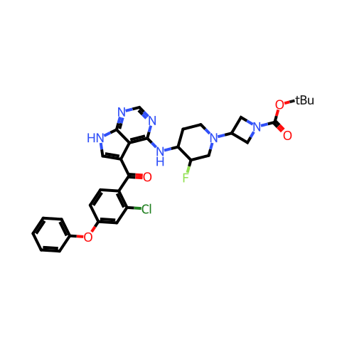 CC(C)(C)OC(=O)N1CC(N2CCC(Nc3ncnc4[nH]cc(C(=O)c5ccc(Oc6ccccc6)cc5Cl)c34)C(F)C2)C1